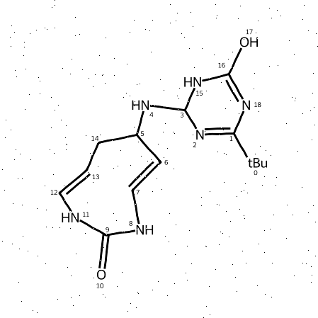 CC(C)(C)C1=NC(NC2/C=C/NC(=O)N/C=C/C2)NC(O)=N1